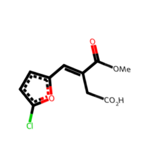 COC(=O)/C(=C/c1ccc(Cl)o1)CC(=O)O